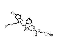 COCCOC(=O)N1CCC2(CC1)C(=O)N(Cc1nc3ccc(Cl)cc3n1CCCCF)c1cnccc12